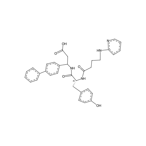 O=C(O)CC(NC(=O)[C@@H](Cc1ccc(O)cc1)NC(=O)CCCNc1ccccn1)c1ccc(-c2ccccc2)cc1